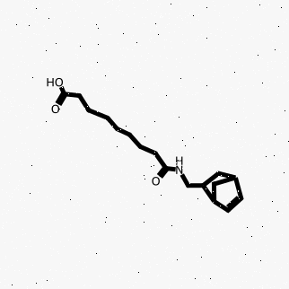 O=C(O)CCCCCCCC(=O)NCC1CC2C=CC1C2